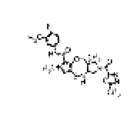 Cc1nnc(C(=O)N2CC3NSc4cn(C)c(C(=O)Nc5ccc(F)c(C)c5)c4OCC3(C)C2)o1